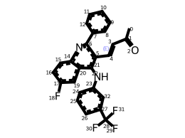 CC(=O)/C=C/c1c(-c2ccccc2)nc2ccc(F)cc2c1Nc1cccc(C(F)(F)F)c1